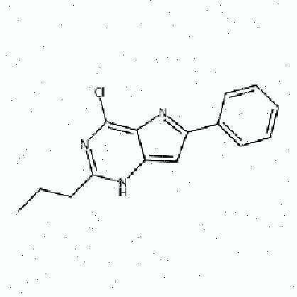 CCCc1nc(Cl)c2nc(-c3ccccc3)cc-2[nH]1